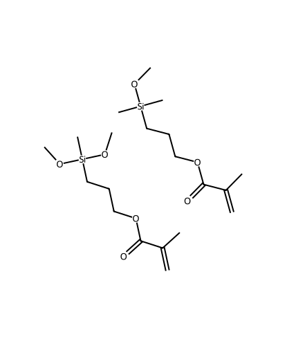 C=C(C)C(=O)OCCC[Si](C)(C)OC.C=C(C)C(=O)OCCC[Si](C)(OC)OC